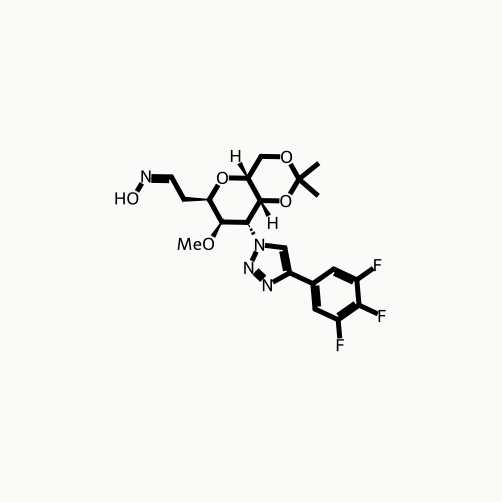 CO[C@@H]1[C@@H](n2cc(-c3cc(F)c(F)c(F)c3)nn2)[C@H]2OC(C)(C)OC[C@H]2O[C@@H]1C/C=N\O